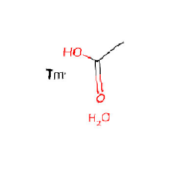 CC(=O)O.O.[Tm]